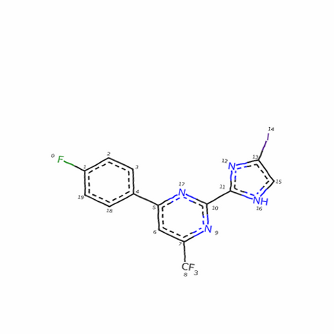 Fc1ccc(-c2cc(C(F)(F)F)nc(-c3nc(I)c[nH]3)n2)cc1